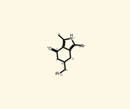 Cc1[nH]c(Br)c2c1C(=O)CC(CC(C)C)C2